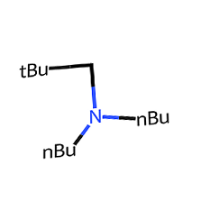 [CH2]C(C)(C)CN(CCCC)CCCC